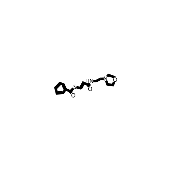 O=C(C=CSC(=O)c1ccccc1)NCCN1CCOCC1